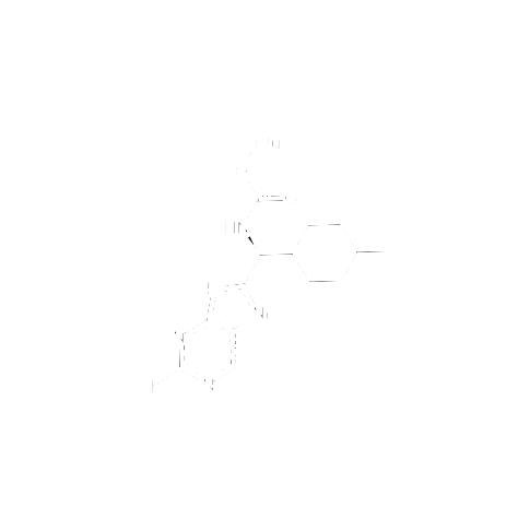 CC1CCC([C@H](NC(=O)OC(C)(C)C)c2nc3nc(Cl)ncc3[nH]2)CC1